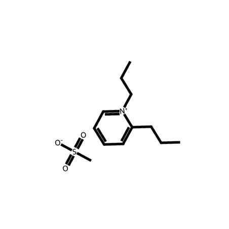 CCCc1cccc[n+]1CCC.CS(=O)(=O)[O-]